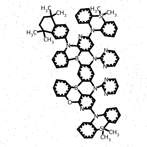 CC1(C)CCC(C)(C)c2cc(N3c4ccccc4B4c5cc6c(cc5N(c5ncccn5)c5cc(N7c8ccccc8[Si](C)(C)c8ccccc87)nc3c54)N(c3ncccn3)c3cc(N4c5ccccc5[Si](C)(C)c5ccccc54)nc4c3B6c3ccccc3O4)ccc21